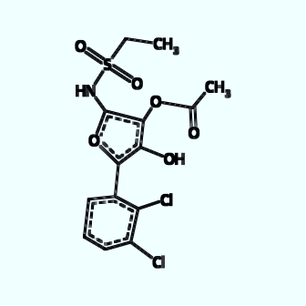 CCS(=O)(=O)Nc1oc(-c2cccc(Cl)c2Cl)c(O)c1OC(C)=O